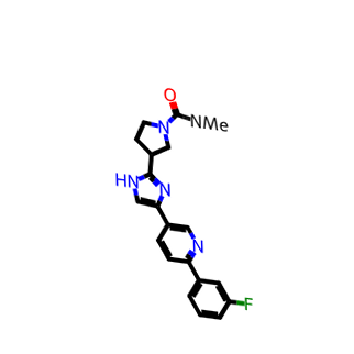 CNC(=O)N1CCC(c2nc(-c3ccc(-c4cccc(F)c4)nc3)c[nH]2)C1